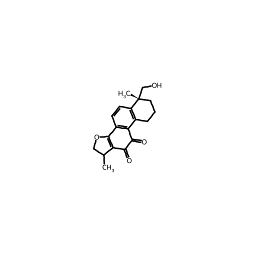 CC1COC2=C1C(=O)C(=O)c1c2ccc2c1CCC[C@@]2(C)CO